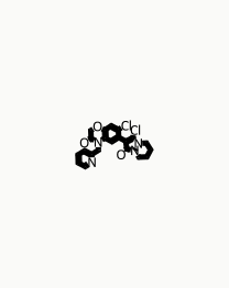 O=C1COc2cc(Cl)c(-c3c(Cl)n4n(c3=O)CCCC4)cc2N1Cc1ccccn1